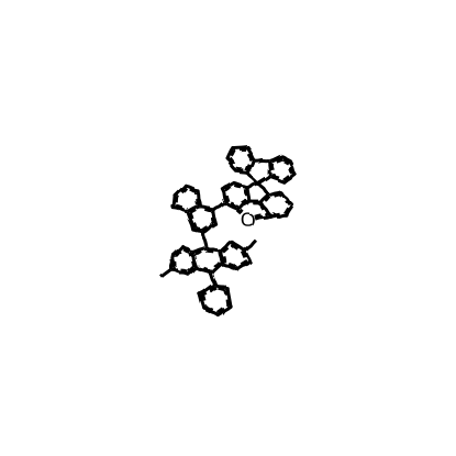 Cc1ccc2c(-c3cc(-c4ccc5c6c4oc4cccc(c46)C54c5ccccc5-c5ccccc54)c4ccccc4c3)c3cc(C)ccc3c(-c3ccccc3)c2c1